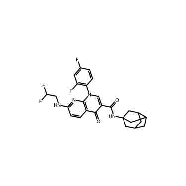 O=C(NC12CC3CC(C1)C(C3)C2)c1cn(-c2ccc(F)cc2F)c2nc(NCC(F)F)ccc2c1=O